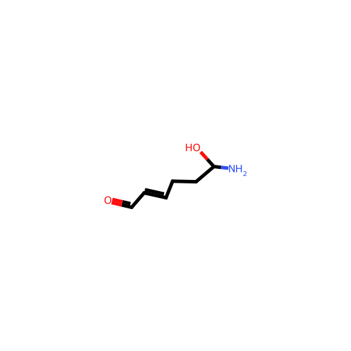 NC(O)CC/C=C/C=O